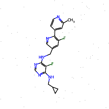 Cc1cc(-c2ncc(CNc3ncnc(NCC4CC4)c3F)cc2F)ccn1